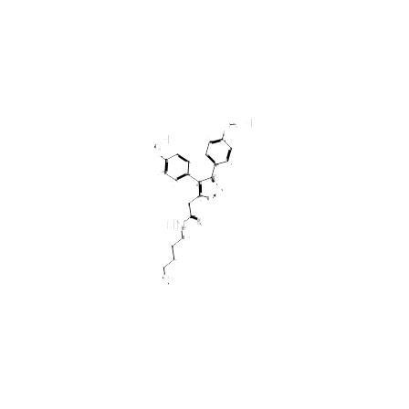 COc1ccc(-c2noc(CC(=O)NCCCCN)c2-c2ccc(OC)cc2)cc1